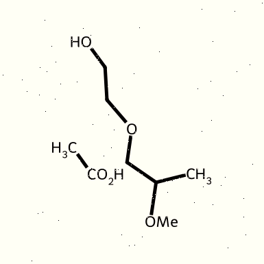 CC(=O)O.COC(C)COCCO